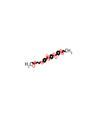 C=CC(=O)OCCCCOc1ccc(C(=O)Oc2ccc(OC(=O)c3ccc(OC(=O)CCC)cc3)cc2)cc1